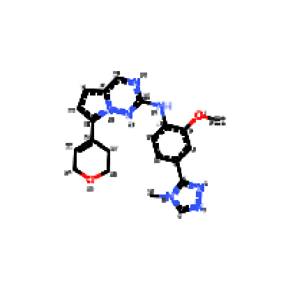 CCOc1cc(-c2nncn2C)ccc1Nc1ncc2ccc(C3=CCOCC3)n2n1